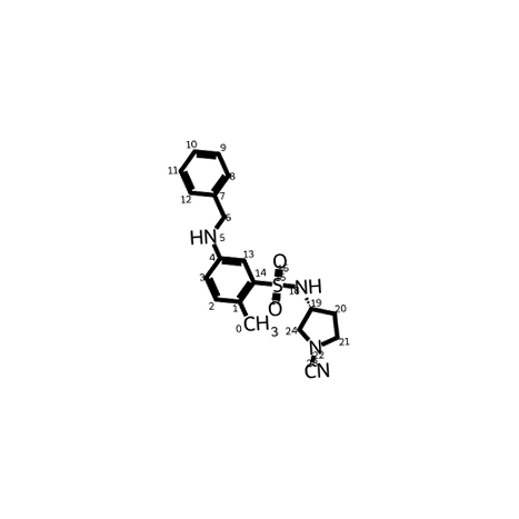 Cc1ccc(NCc2ccccc2)cc1S(=O)(=O)N[C@@H]1CCN(C#N)C1